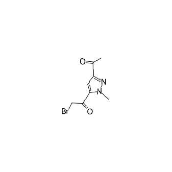 CC(=O)c1cc(C(=O)CBr)n(C)n1